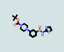 CC(C)(C)OC(=O)N1CCN(c2cccc([S+]([O-])Nc3nccs3)c2)CC1